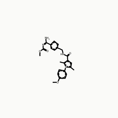 COC(=O)/N=C(/N)c1ccc(CNC(=O)c2cc(C)n(-c3ccc(OC)cc3)c2C)cc1